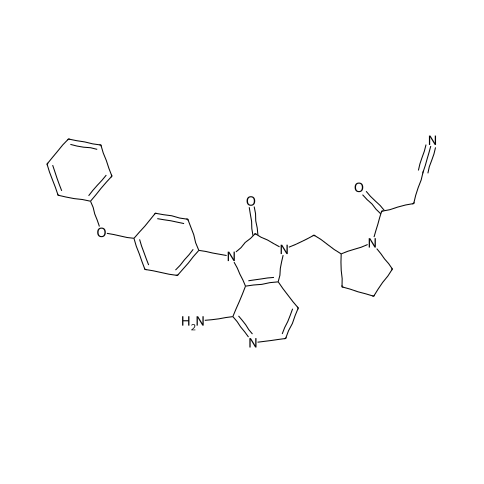 N#CCC(=O)N1CCCC1Cn1c(=O)n(-c2ccc(Oc3ccccc3)cc2)c2c(N)nccc21